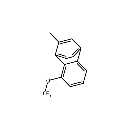 Cc1cc2ccc1c1c(OC(F)(F)F)[c]ccc21